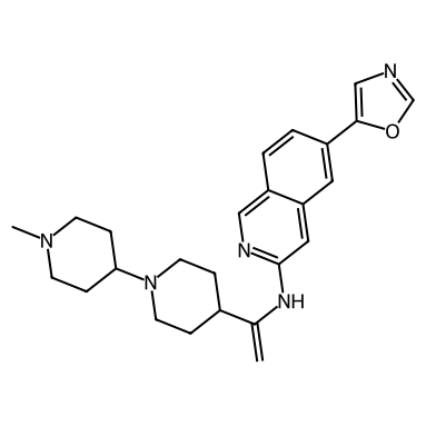 C=C(Nc1cc2cc(-c3cnco3)ccc2cn1)C1CCN(C2CCN(C)CC2)CC1